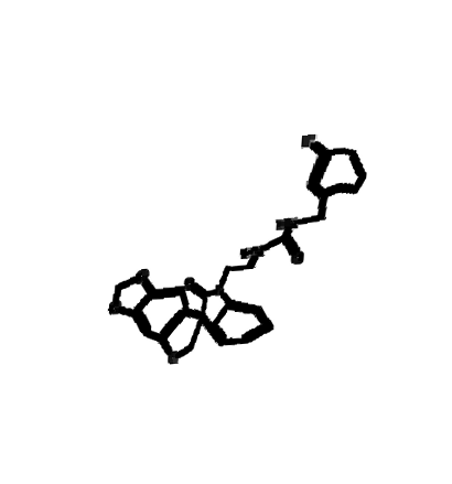 O=C(NCCN1C(=O)C2(COc3cc4c(cc32)OCO4)c2ccccc21)NCc1cccc(F)c1